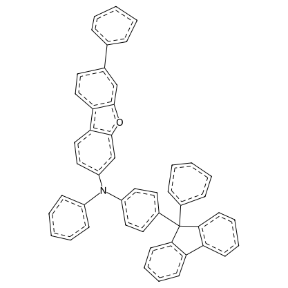 c1ccc(-c2ccc3c(c2)oc2cc(N(c4ccccc4)c4ccc(C5(c6ccccc6)c6ccccc6-c6ccccc65)cc4)ccc23)cc1